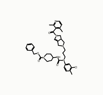 Cc1ccc(N(CCCN2CC3=CN(C(=O)c4c(C)ccnc4C)CC3C2)C(=O)NC2CCN(C(=O)OCc3ccccc3)CC2)cc1Cl